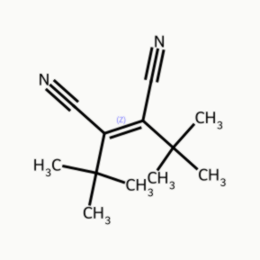 CC(C)(C)/C(C#N)=C(/C#N)C(C)(C)C